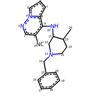 [C-]#[N+]c1cnn2cccc2c1NC1CN(Cc2ccccc2)CCC1C